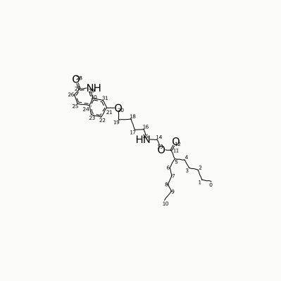 CCCCCC(CCCCC)C(=O)OCNCCCCOc1ccc2ccc(=O)[nH]c2c1